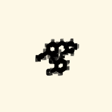 Cc1cncn1Cc1ccc(C#N)c(Oc2ccccc2Cl)c1